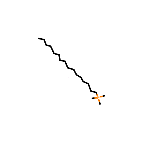 CCCCCCCCCCCCCCCC[P+](C)(C)C.[I-]